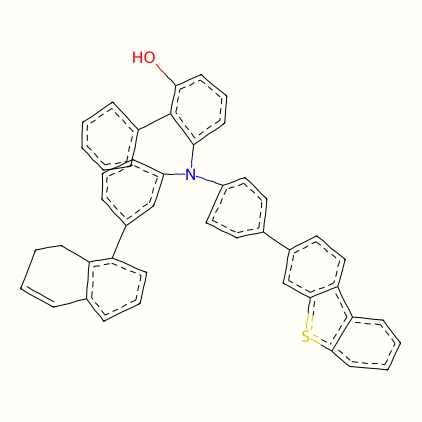 Oc1cccc(N(c2ccc(-c3ccc4c(c3)sc3ccccc34)cc2)c2cccc(-c3cccc4c3CCC=C4)c2)c1-c1ccccc1